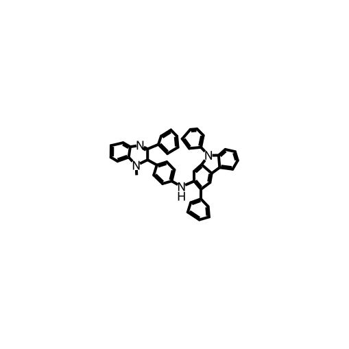 CN1c2ccccc2N=C(c2ccccc2)C1c1ccc(Nc2cc3c(cc2-c2ccccc2)c2ccccc2n3-c2ccccc2)cc1